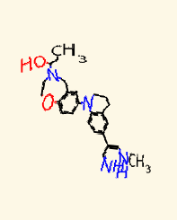 CCC(O)N1CCOc2ccc(N3CCCc4cc(/C(C=N)=C/NC)ccc43)cc2C1